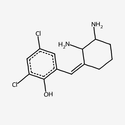 NC1CCCC(=Cc2cc(Cl)cc(Cl)c2O)C1N